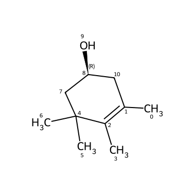 CC1=C(C)C(C)(C)C[C@@H](O)C1